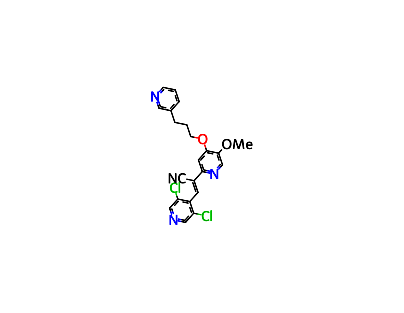 COc1cnc(C(C#N)=Cc2c(Cl)cncc2Cl)cc1OCCCc1cccnc1